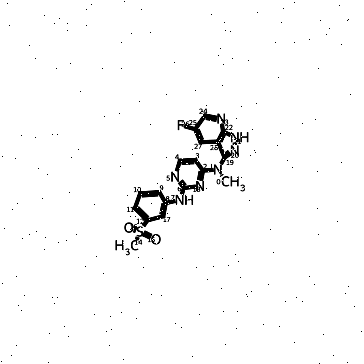 CN(c1ccnc(Nc2cccc(S(C)(=O)=O)c2)n1)c1n[nH]c2ncc(F)cc12